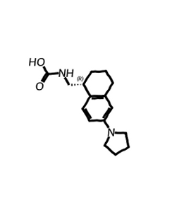 O=C(O)NC[C@@H]1CCCc2cc(N3CCCC3)ccc21